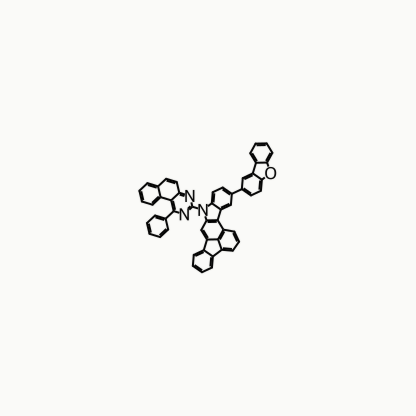 c1ccc(-c2nc(-n3c4ccc(-c5ccc6oc7ccccc7c6c5)cc4c4c5cccc6c5c(cc43)-c3ccccc3-6)nc3ccc4ccccc4c23)cc1